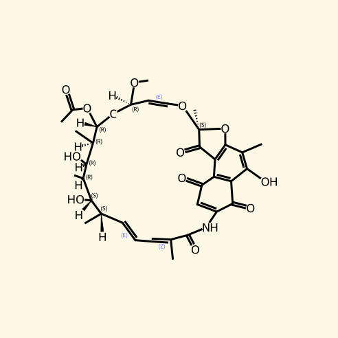 CO[C@H]1/C=C/O[C@@]2(C)Oc3c(C)c(O)c4c(c3C2=O)C(=O)C=C(NC(=O)/C(C)=C\C=C\[C@H](C)[C@H](O)[C@@H](C)[C@@H](O)[C@@H](C)[C@H](OC(C)=O)C1)C4=O